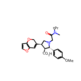 CCCN(C)C(=O)CN1C[C@H](C2=Cc3occc3OC2)[C@H](C(=O)O)[C@H]1c1ccc(OC)cc1